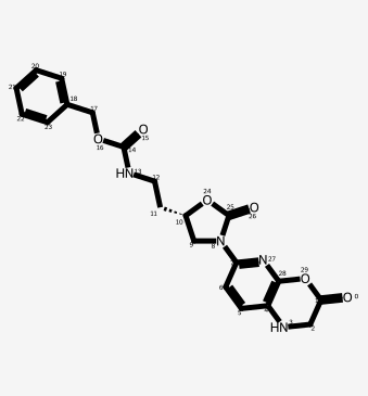 O=C1CNc2ccc(N3C[C@H](CCNC(=O)OCc4ccccc4)OC3=O)nc2O1